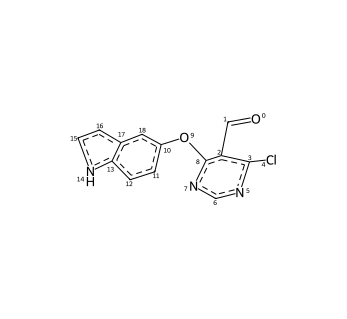 O=Cc1c(Cl)ncnc1Oc1ccc2[nH]ccc2c1